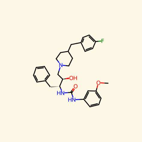 COc1cccc(NC(=O)N[C@H](Cc2ccccc2)[C@H](O)CN2CCC(Cc3ccc(F)cc3)CC2)c1